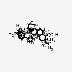 CC(C)[C@@H](C)[C@@]1(C)CC[C@]2(C)[C@H]3CC[C@@H]4[C@@]5(COC[C@@]4(C)[C@@H](OC[C@](C)(N)C(C)C)[C@H](n4ncnc4-c4ccc(N)cc4)C5)C3=CC[C@@]2(C)[C@@H]1C(=O)O